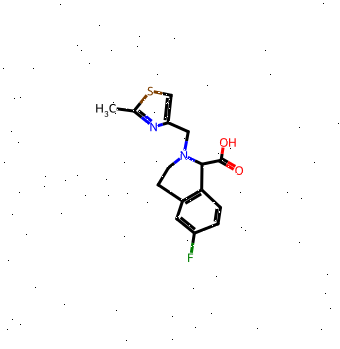 Cc1nc(CN2CCc3cc(F)ccc3C2C(=O)O)cs1